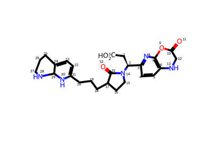 O=C(O)C[C@@H](c1ccc2c(n1)OC(=O)CN2)N1CCC(CCCC2=CC=C3CCCNC3N2)C1=O